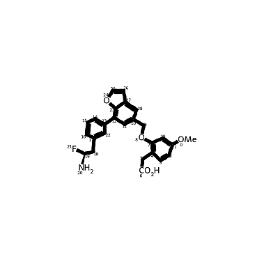 COc1ccc(CC(=O)O)c(OCc2cc(-c3cccc(C[C@@H](N)F)c3)c3occc3c2)c1